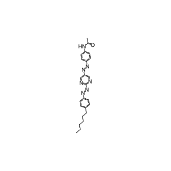 CCCCCCc1ccc(N=Nc2ncc(N=Nc3ccc(NC(C)=O)cc3)cn2)cc1